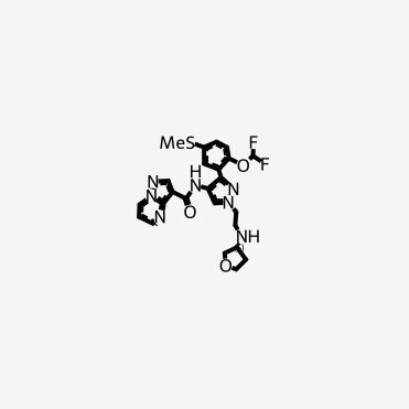 CSc1ccc(OC(F)F)c(-c2nn(CCN[C@H]3CCOC3)cc2NC(=O)c2cnn3cccnc23)c1